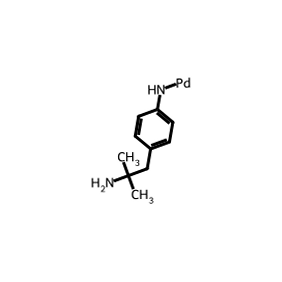 CC(C)(N)Cc1ccc([NH][Pd])cc1